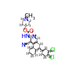 CN1CCC(OC(=O)Nc2ncc3c(c2C#N)-c2ccccc2C(c2ccc(Cl)c(Cl)c2)C3)CC1